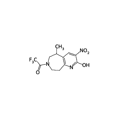 CC1CN(C(=O)C(F)(F)F)CCc2nc(O)c([N+](=O)[O-])cc21